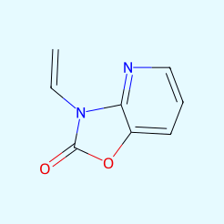 C=Cn1c(=O)oc2cccnc21